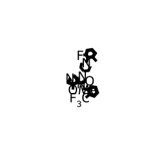 COc1cncc2c1n(Cc1ccccc1C(F)(F)F)c(=O)n2C1CCN(c2c(C)cccc2F)CC1